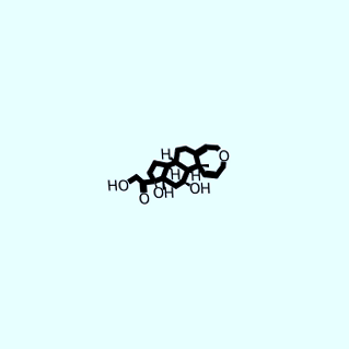 C[C@]12/C=C\COC/C=C\1CC[C@@H]1[C@@H]2[C@@H](O)C[C@@]2(C)[C@H]1CC[C@]2(O)C(=O)CO